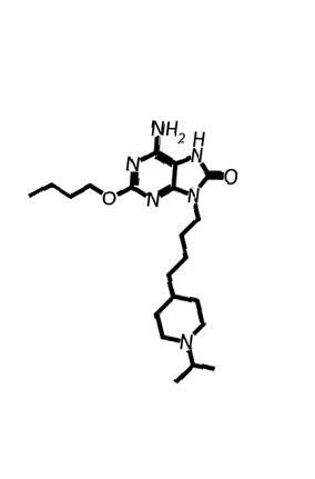 CCCCOc1nc(N)c2[nH]c(=O)n(CCCCC3CCN(C(C)C)CC3)c2n1